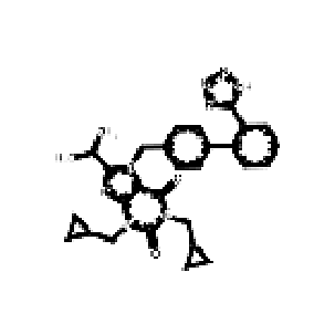 CC(C)c1nc2c(c(=O)n(CC3CC3)c(=O)n2CC2CC2)n1Cc1ccc(-c2ccccc2-c2nnn[nH]2)cc1